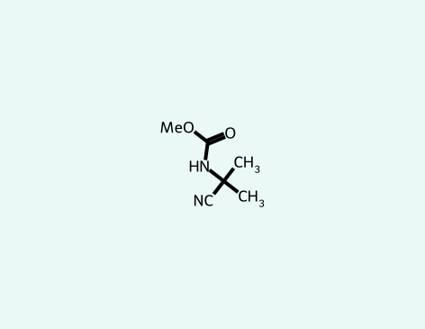 COC(=O)NC(C)(C)C#N